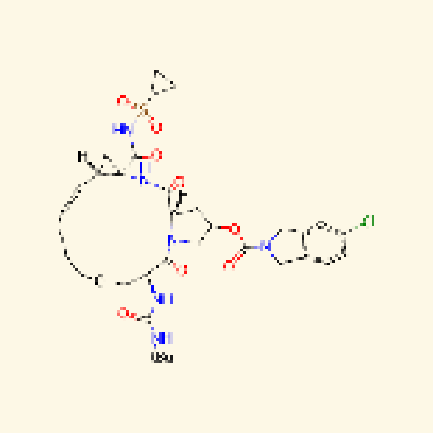 CC(C)(C)NC(=O)N[C@H]1CCCCC/C=C\[C@@H]2C[C@@]2(C(=O)NS(=O)(=O)C2CC2)NC(=O)[C@@H]2C[C@@H](OC(=O)N3Cc4ccc(Cl)cc4C3)CN2C1=O